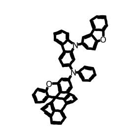 c1ccc(N(c2ccc3c(c2)Oc2ccccc2C32c3ccccc3-c3cccc4cccc2c34)c2ccc3c4ccccc4n(-c4ccc5oc6ccccc6c5c4)c3c2)cc1